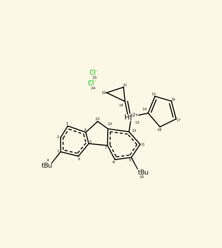 CC(C)(C)c1ccc2c(c1)-c1cc(C(C)(C)C)c[c]([Hf+2]([C]3=CC=CC3)=[C]3CC3)c1C2.[Cl-].[Cl-]